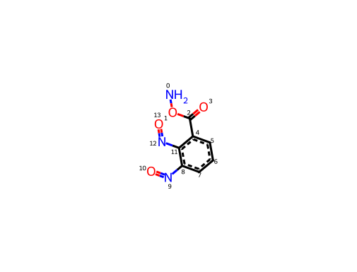 NOC(=O)c1cccc(N=O)c1N=O